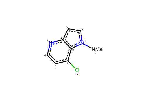 CNn1ccc2nccc(Cl)c21